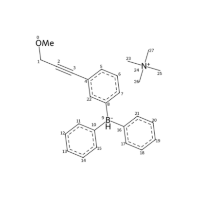 COCC#Cc1cccc([BH-](c2ccccc2)c2ccccc2)c1.C[N+](C)(C)C